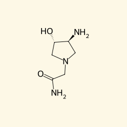 NC(=O)CN1C[C@H](N)[C@@H](O)C1